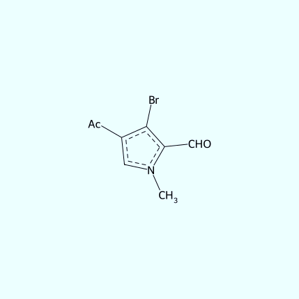 CC(=O)c1cn(C)c(C=O)c1Br